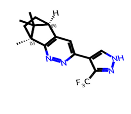 CC1(C)[C@H]2CC[C@]1(C)c1nnc(-c3c[nH]nc3C(F)(F)F)cc12